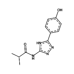 CC(C)C(=O)Nc1nnc(-c2ccc(O)cc2)[nH]1